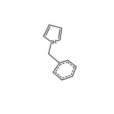 C1=C[SH](Cc2ccccc2)C=C1